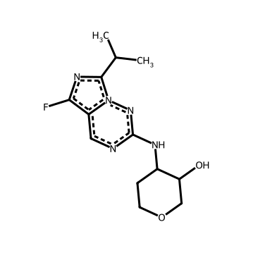 CC(C)c1nc(F)c2cnc(NC3CCOCC3O)nn12